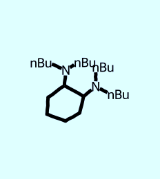 CCCCN(CCCC)C1CCCCC1N(CCCC)CCCC